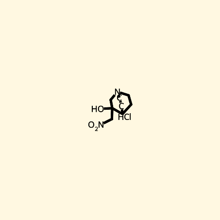 Cl.O=[N+]([O-])CC1(O)CN2CCC1CC2